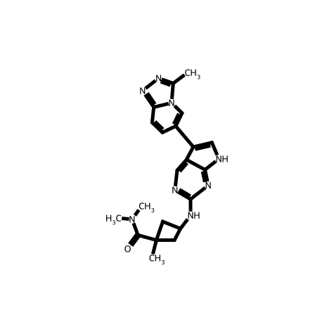 Cc1nnc2ccc(-c3c[nH]c4nc(NC5CC(C)(C(=O)N(C)C)C5)ncc34)cn12